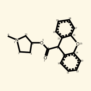 CN1CCC(OC(=O)C2c3ccccc3Oc3ccccc32)C1